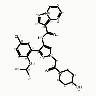 O=C(Nc1cn(CC(=O)N2CCC(O)CC2)nc1-c1cc(Cl)ccc1OC(F)F)c1cnn2cccnc12